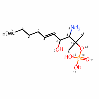 CCCCCCCCCCCCCC=CC(O)C(N)C(C)(C)OP(=O)(O)O